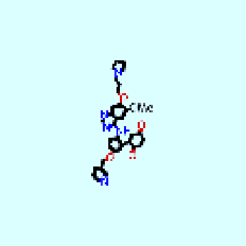 COc1cc2c(Nc3ccc(OCc4cccnc4)cc3C3=CC(=O)C=CC3=O)ncnc2cc1OCCCN1CCCC1